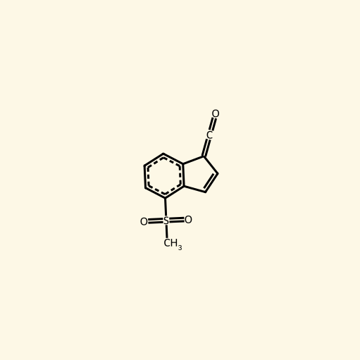 CS(=O)(=O)c1cccc2c1C=CC2=C=O